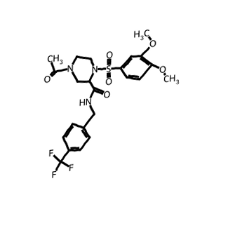 COc1ccc(S(=O)(=O)N2CCN(C(C)=O)CC2C(=O)NCc2ccc(C(F)(F)F)cc2)cc1OC